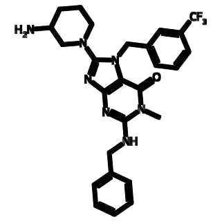 Cn1c(NCc2ccccc2)nc2nc(N3CCCC(N)C3)n(Cc3cccc(C(F)(F)F)c3)c2c1=O